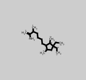 C=C(N)C(C)CCCCC1C(C)CC(CC)(CC)C1C